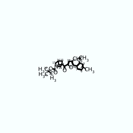 COc1cc(C)ccc1-c1oc(C(=O)C23CC(CN(C(=O)OC(C)(C)C)C2)C3)cc1C